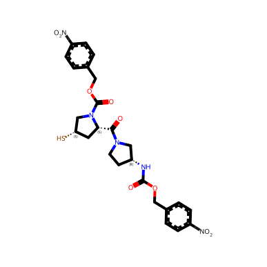 O=C(N[C@@H]1CCN(C(=O)[C@@H]2C[C@H](S)CN2C(=O)OCc2ccc([N+](=O)[O-])cc2)C1)OCc1ccc([N+](=O)[O-])cc1